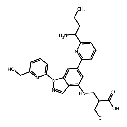 CCCC(N)c1cccc(-c2cc(NCC(CCl)C(=O)O)c3cnn(-c4cccc(CO)n4)c3c2)n1